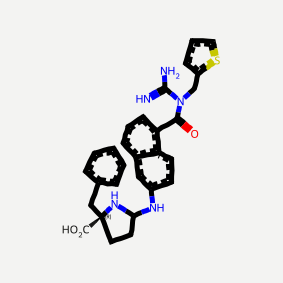 N=C(N)N(Cc1cccs1)C(=O)c1cccc2cc(NC3CC[C@@](Cc4ccccc4)(C(=O)O)N3)ccc12